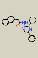 O=C(Cc1ccc2ccccc2c1)Nc1ncc(-c2ccccc2)nc1C1CCCCC1